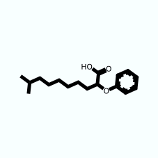 CC(C)CCCCCCC(Oc1ccccc1)C(=O)O